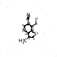 Cc1csc2c(CI)c(C#N)cnc12